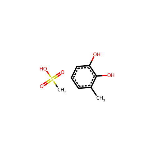 CS(=O)(=O)O.Cc1cccc(O)c1O